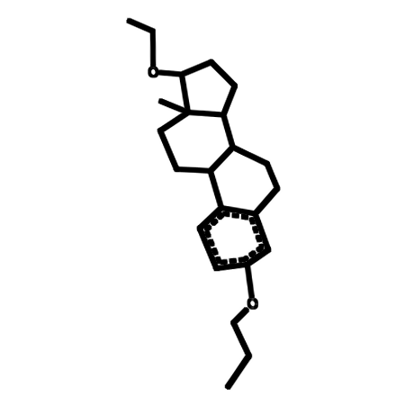 CCCOc1ccc2c(c1)CCC1C2CCC2(C)C(OCC)CCC12